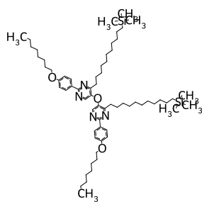 CCCCCCCCOc1ccc(-c2ncc(Oc3cnc(-c4ccc(OCCCCCCCC)cc4)nc3CCCCCCCCCCC[Si](C)(C)C)c(CCCCCCCCCCC[Si](C)(C)C)n2)cc1